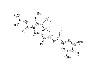 CCOc1c(C(=O)OC(=O)C(F)(F)F)nc2c(c1C)CN(CC(=O)c1cc(C(C)(C)C)c(O)c(C(C)(C)C)c1)C2=N